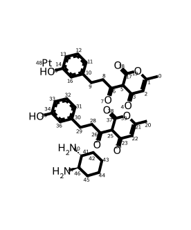 CC1=CC(=O)C(C(=O)CCc2cccc(O)c2)C(=O)O1.CC1=CC(=O)C(C(=O)CCc2cccc(O)c2)C(=O)O1.N[C@@H]1CCCC[C@H]1N.[Pt]